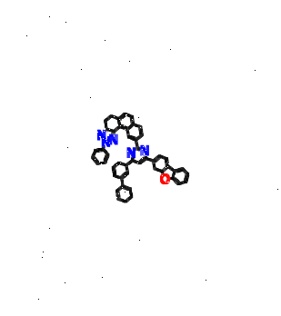 C1=CC(C2=CC(c3cc(C4=CC=C5c6ccccc6OC5C4)nc(-c4ccc5ccc6c(c5c4)-c4nn(-c5ccccc5)nc4CC6)n3)CC=C2)=CCC1